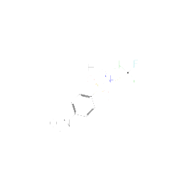 CN(SC(F)(Cl)Cl)S(=O)(=O)c1ccc([N+](=O)[O-])cc1